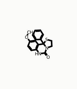 COc1ccc2c(c1)C1(c3ccccc3)SCCN1C(=O)N2